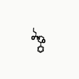 CCCC(=O)N1CCOC(c2ccccc2)C1